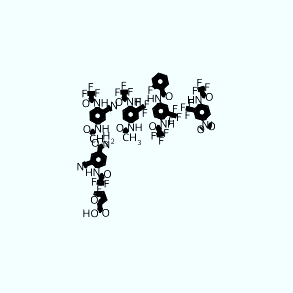 CC(=O)Nc1ccc(NC(=O)C(F)(F)F)c(C#N)c1.CC(=O)Nc1ccc(NC(=O)C(F)(F)F)c(C(F)(F)F)c1.N#Cc1cc(C(N)=O)ccc1NC(=O)C(F)(F)F.O=C(Nc1ccc(NC(=O)C(F)(F)F)c(C(F)(F)F)c1)c1ccccc1F.O=C(Nc1ccc([N+](=O)[O-])cc1C(F)(F)F)C(F)(F)F.O=C(O)c1ccco1